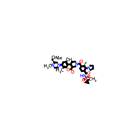 COC[C@H]1CN(c2cc(C)c3c4c(c(=O)oc3c2C)CN(C(=O)c2ccc(C(=O)NS(=O)(=O)C3(C)CC3)c(N3CCCC3)c2F)CC4)CCN1C